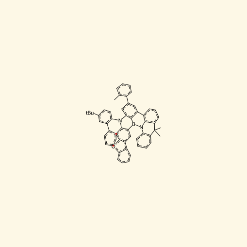 Cc1ccccc1-c1cc2c3c(c1)N(c1ccc(C(C)(C)C)cc1-c1ccccc1)c1cc4oc5ccccc5c4cc1B3N1c3ccccc3C(C)(C)c3cccc-2c31